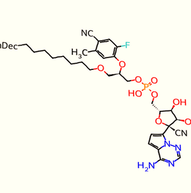 CCCCCCCCCCCCCCCCCCOC[C@H](COP(=O)(O)OC[C@H]1O[C@@](C#N)(c2ccc3c(N)ncnn23)[C@H](O)[C@@H]1O)Oc1cc(C)c(C#N)cc1F